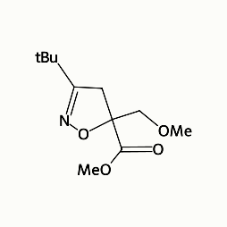 COCC1(C(=O)OC)CC(C(C)(C)C)=NO1